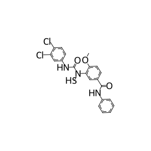 COc1ccc(C(=O)Nc2ccccc2)cc1N(S)C(=O)Nc1ccc(Cl)c(Cl)c1